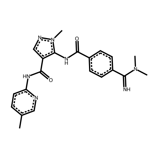 Cc1ccc(NC(=O)c2cnn(C)c2NC(=O)c2ccc(C(=N)N(C)C)cc2)nc1